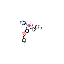 O=C(Cc1cccc(C(F)(F)F)c1)N(Cc1ccncc1)Cc1cccc(OCCc2ccc(F)cc2)c1